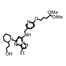 CCc1cnn2c(NCc3ccc(OCCCC(OC)OC)nc3)cc(N3CCCCC3CCO)nc12